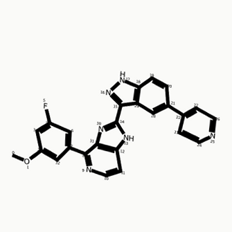 COc1cc(F)cc(-c2nccc3[nH]c(-c4n[nH]c5ccc(-c6ccncc6)cc45)nc23)c1